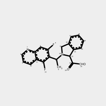 CC(c1c(F)cc2ncccc2c1F)N1Cc2ccccc2C1C(=O)C=O